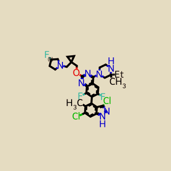 CCC1(C)CN(c2nc(OCC3(CN4CC[C@@H](F)C4)CC3)nc3c(F)c(-c4c(C)c(Cl)cc5[nH]nc(Cl)c45)c(F)cc23)CCN1